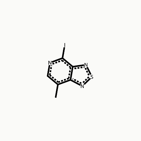 Cc1cnc(I)c2nsnc12